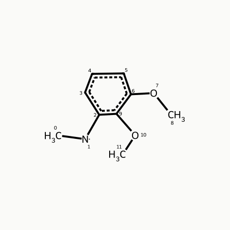 C[N]c1cccc(OC)c1OC